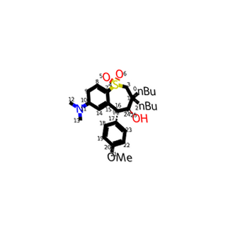 CCCCC1(CCCC)CS(=O)(=O)C2=CCC(N(C)C)C=C2[C@@H](c2ccc(OC)cc2)[C@H]1O